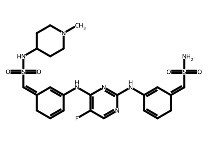 CN1CCC(NS(=O)(=O)C=C2C=C(Nc3nc(NC4=CC(=CS(N)(=O)=O)CC=C4)ncc3F)C=CC2)CC1